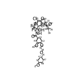 COc1ccc(COCCOc2ccc(C(=O)NCC(O)(c3cc4c(c(Cl)n3)OCC4(C)N[S+]([O-])C(C)(C)C)C(F)(F)F)cc2OC)cc1